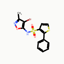 Cc1noc(NS(=O)(=O)c2ccsc2-c2ccccc2)c1Br